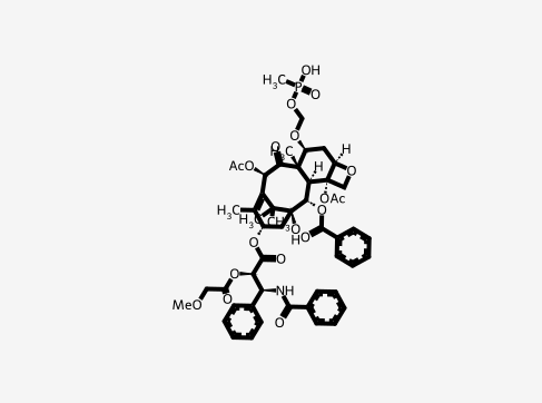 COCC(=O)O[C@@H](C(=O)O[C@H]1C[C@@]2(O)[C@@H](OC(=O)c3ccccc3)[C@@H]3[C@]4(OC(C)=O)CO[C@@H]4C[C@H](OCOP(C)(=O)O)[C@@]3(C)C(=O)[C@H](OC(C)=O)C(=C1C)C2(C)C)[C@@H](NC(=O)c1ccccc1)c1ccccc1